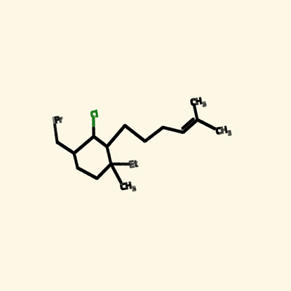 CCC1(C)CCC(CC(C)C)C(Cl)C1CCCC=C(C)C